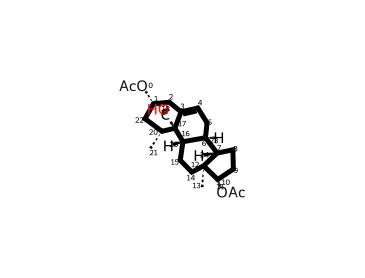 CC(=O)O[C@@H]1CC2=CC[C@H]3[C@@H]4CC[C@H](OC(C)=O)[C@@]4(C)CC[C@@H]3[C@@]2(CO)[C@H](C)C1